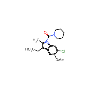 COc1cc2c(CC(=O)O)c(C)n(C(=O)N3CCCCC3)c2cc1Cl